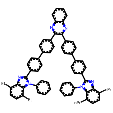 CCCc1ccc(CCC)c2c1nc(-c1ccc(-c3ccc(-c4nc5ccccc5nc4-c4ccc(-c5ccc(-c6nc7c(CC)ccc(CC)c7n6-c6ccccc6)cc5)cc4)cc3)cc1)n2-c1ccccc1